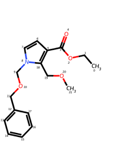 CCOC(=O)c1ccn(COCc2ccccc2)c1COC